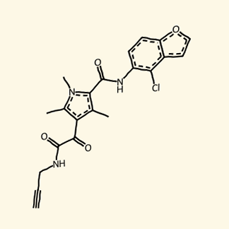 C#CCNC(=O)C(=O)c1c(C)c(C(=O)Nc2ccc3occc3c2Cl)n(C)c1C